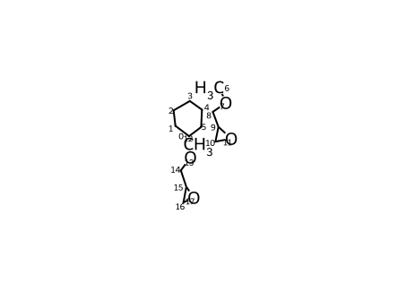 C1CCCCC1.COCC1CO1.COCC1CO1